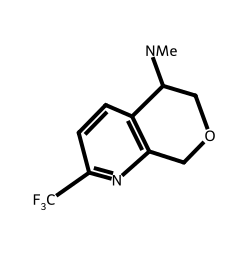 CNC1COCc2nc(C(F)(F)F)ccc21